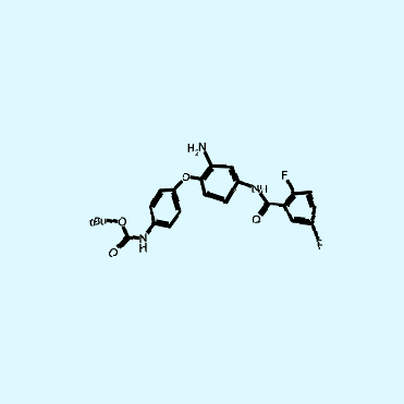 CC(C)(C)OC(=O)Nc1ccc(Oc2ccc(NC(=O)c3cc(F)ccc3F)cc2N)cc1